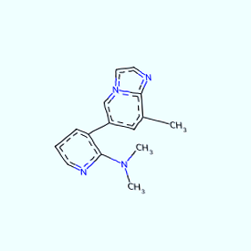 Cc1cc(-c2cccnc2N(C)C)cn2ccnc12